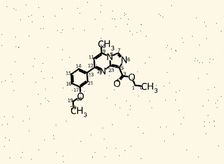 CCOC(=O)c1ncn2c(C)cc(-c3cccc(OCC)c3)nc12